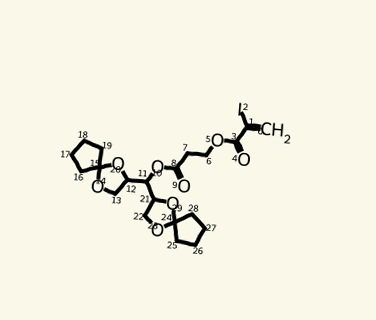 C=C(I)C(=O)OCCC(=O)OC(C1COC2(CCCC2)O1)C1COC2(CCCC2)O1